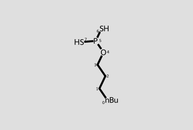 CCCCCCCOP(S)S